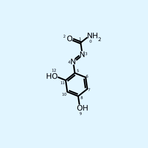 NC(=O)/N=N/c1ccc(O)cc1O